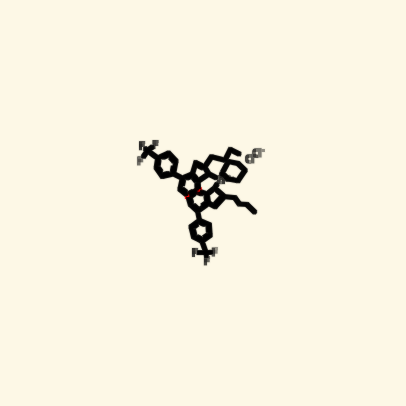 CCCCC1=Cc2c(-c3ccc(C(F)(F)F)cc3)cccc2[CH]1[Zr+2]1([CH]2C(CCCC)=Cc3c(-c4ccc(C(F)(F)F)cc4)cccc32)[CH]2CCCC[CH]21.[Cl-].[Cl-]